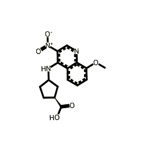 COc1cccc2c(NC3CC[C@H](C(=O)O)C3)c([N+](=O)[O-])cnc12